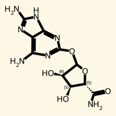 NC(=O)[C@H]1OC(Oc2nc(N)c3nc(N)[nH]c3n2)[C@H](O)[C@@H]1O